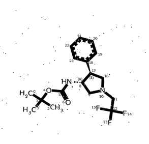 CC(C)(C)OC(=O)N[C@H]1CN(CC(F)(F)F)C[C@@H]1c1ccccc1